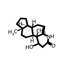 C[C@@]12CCC[C@H]1[C@@H]1CC=C3NC(=O)CC(O)[C@]3(C)[C@H]1CC2